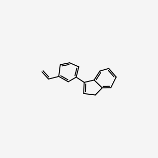 C=Cc1cccc(C2=CCc3ccccc32)c1